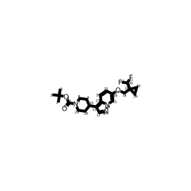 CC(C)(C)OC(=O)N1CCC(c2cnn3cc(OCC4(C(F)F)CC4)ccc23)CC1